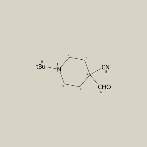 CC(C)(C)N1CCC(C#N)(C=O)CC1